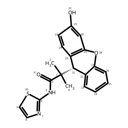 CC(C)(C(=O)Nc1nccs1)[C@H]1c2ccccc2Oc2cc(O)ccc21